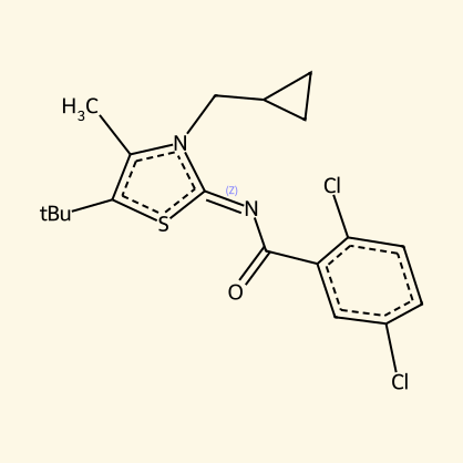 Cc1c(C(C)(C)C)s/c(=N\C(=O)c2cc(Cl)ccc2Cl)n1CC1CC1